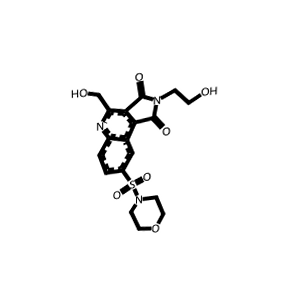 O=C1c2c(CO)nc3ccc(S(=O)(=O)N4CCOCC4)cc3c2C(=O)N1CCO